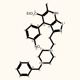 CCOC(=O)C1=C(C)Nc2snc(CCN3CCN(Cc4ccccc4)CC3)c2C1c1cccc([N+](=O)[O-])c1